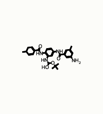 Cc1cc(N)cc(C(=O)Nc2ccc(NC(=O)C3=CCC(C)C=C3)c(NC(O)OC(C)(C)C)c2)c1